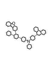 c1ccc(-c2ccc(-c3ccc(N(c4ccccc4)c4ccc(-c5cc6ccccc6c6ccccc56)cc4)cc3)cc2-c2ccc3oc4ccccc4c3c2)cc1